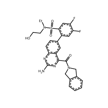 CCN(CCO)S(=O)(=O)c1cc(F)c(F)cc1-c1ccc2nc(N)nc(C(=O)N3Cc4ccccc4C3)c2c1